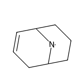 C1=CC2CCCC(C1)[N]2